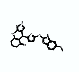 COc1ccc2nc(Oc3ccc(C4C5=C(CCCC5=O)Nc5n[nH]cc54)o3)[nH]c2c1